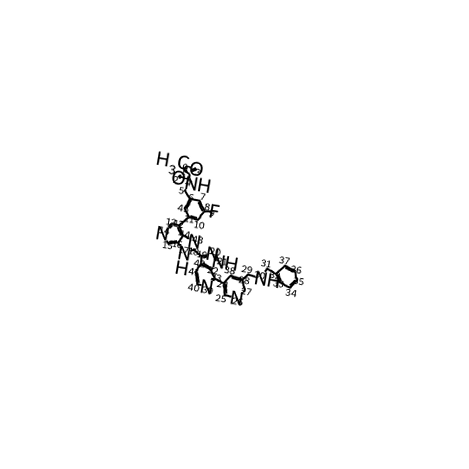 CS(=O)(=O)NCc1cc(F)cc(-c2cncc3[nH]c(-c4n[nH]c5c(-c6cncc(CNCc7ccccc7)c6)nccc45)nc23)c1